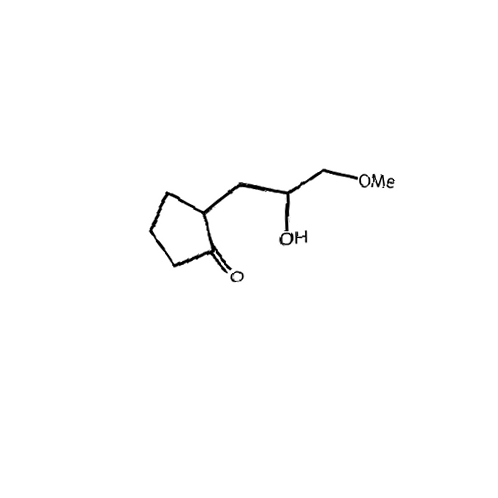 COCC(O)CC1CCCC1=O